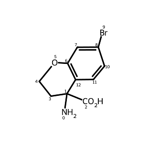 NC1(C(=O)O)CCOc2cc(Br)ccc21